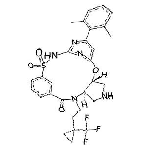 Cc1cccc(C)c1-c1cc2nc(n1)NS(=O)(=O)c1cccc(c1)C(=O)N(CCC1(C(F)(F)F)CC1)[C@@H]1CNC[C@H]1O2